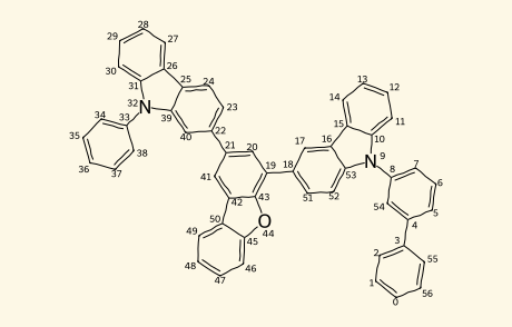 c1ccc(-c2cccc(-n3c4ccccc4c4cc(-c5cc(-c6ccc7c8ccccc8n(-c8ccccc8)c7c6)cc6c5oc5ccccc56)ccc43)c2)cc1